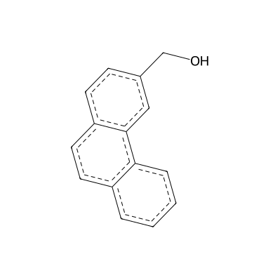 OCc1ccc2ccc3ccccc3c2c1